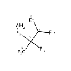 CCC(F)C(F)(F)C(F)(F)F.[AlH3]